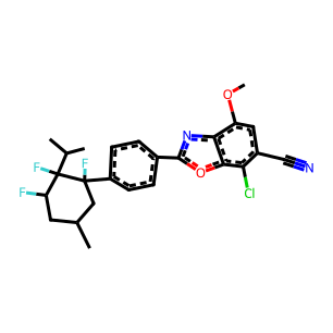 COc1cc(C#N)c(Cl)c2oc(-c3ccc(C4(F)CC(C)CC(F)C4(F)C(C)C)cc3)nc12